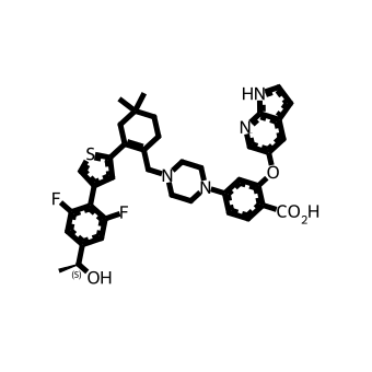 C[C@H](O)c1cc(F)c(-c2csc(C3=C(CN4CCN(c5ccc(C(=O)O)c(Oc6cnc7[nH]ccc7c6)c5)CC4)CCC(C)(C)C3)c2)c(F)c1